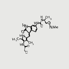 CNOCC(C)NC(=O)Nc1ccc2c(c1)NC(=O)/C2=C\c1[nH]c(C)c(NC(=O)CCl)c1C